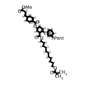 C=C(C)C(=O)OCCCCCCCCCCCOC(=O)c1cc(OC(=O)c2ccc(C=CC(=O)OC)cc2)ccc1C=O.CCCCCc1ccccc1